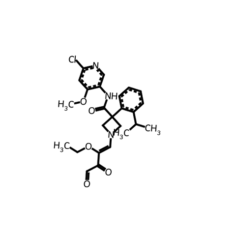 CCOC(=CN1CC(C(=O)Nc2cnc(Cl)cc2OC)(c2ccccc2C(C)C)C1)C(=O)C=O